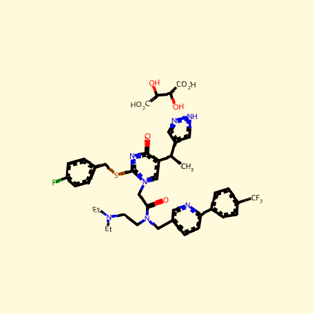 CCN(CC)CCN(Cc1ccc(-c2ccc(C(F)(F)F)cc2)nc1)C(=O)Cn1cc(C(C)c2cn[nH]c2)c(=O)nc1SCc1ccc(F)cc1.O=C(O)C(O)C(O)C(=O)O